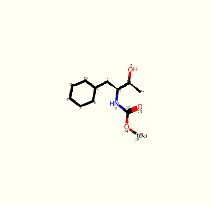 C[C@H](O)[C@H](CC1CCCCC1)NC(=O)OC(C)(C)C